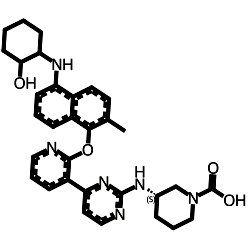 Cc1ccc2c(NC3CCCCC3O)cccc2c1Oc1ncccc1-c1ccnc(N[C@H]2CCCN(C(=O)O)C2)n1